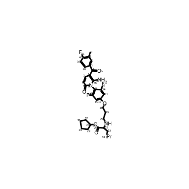 Cc1cc(C(=O)c2ccc(=O)n(-c3c(F)cc(OCCCNC(CC(C)C)C(=O)OC4CCCC4)cc3F)c2N)ccc1F